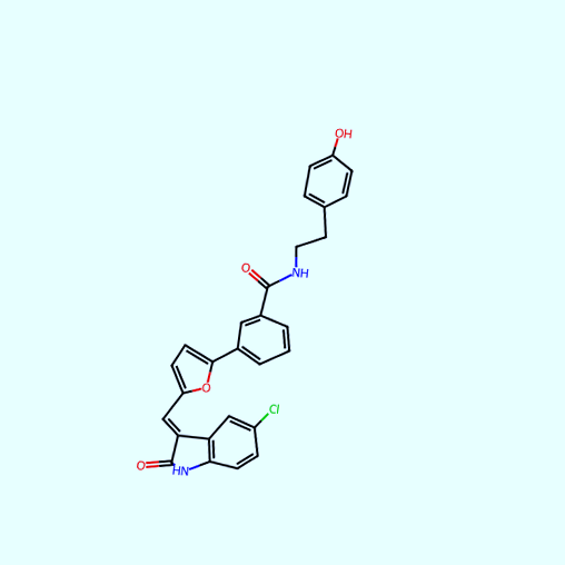 O=C1Nc2ccc(Cl)cc2/C1=C\c1ccc(-c2cccc(C(=O)NCCc3ccc(O)cc3)c2)o1